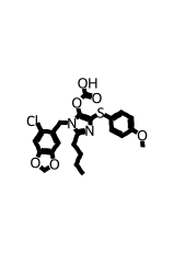 CCCCc1nc(Sc2ccc(OC)cc2)c(OC(=O)O)n1Cc1cc2c(cc1Cl)OCO2